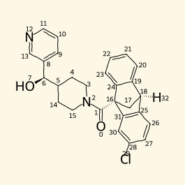 O=C(N1CCC([C@@H](O)c2cccnc2)CC1)[C@@]12C[C@@H](c3ccccc31)c1ccc(Cl)cc12